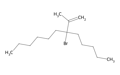 C=C(C)C(Br)(CCCCC)CCCCCC